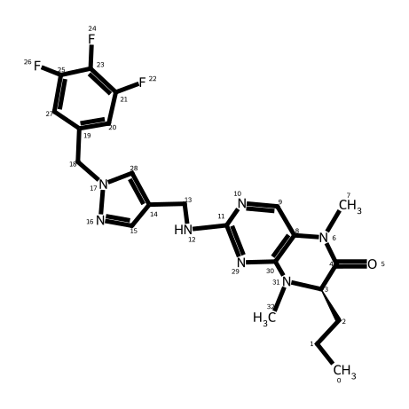 CCC[C@@H]1C(=O)N(C)c2cnc(NCc3cnn(Cc4cc(F)c(F)c(F)c4)c3)nc2N1C